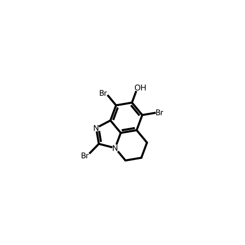 Oc1c(Br)c2c3c(nc(Br)n3CCC2)c1Br